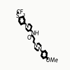 COc1ccc(N2CCN(CCC(=O)NC3CCN(c4ccc(SC(F)(F)F)cc4)CC3)CC2)cc1